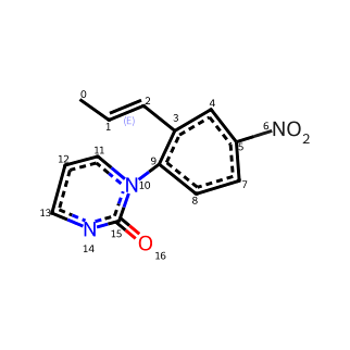 C/C=C/c1cc([N+](=O)[O-])ccc1-n1cccnc1=O